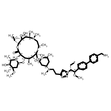 CC[C@H]1OC(=O)[C@H](C)[C@@H](O[C@H]2C[C@@](C)(OC)[C@@H](O)[C@H](C)O2)[C@H](C)[C@@H](O[C@H]2C[C@@H](N(C)CCc3cn([C@H](CF)[C@H](OC)c4ccc(-c5ccc(CN)cc5)cc4)nn3)C[C@@H](C)O2)[C@](C)(O)C[C@@H](C)CN(C)[C@H](C)[C@@H](O)[C@]1(C)O